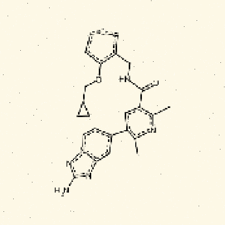 Cc1nc(C)c(-c2ccn3nc(N)nc3c2)cc1C(=O)NCc1ccccc1OCC1CC1